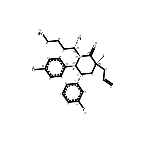 C=CC[C@@]1(C)C[C@H](c2cccc(Cl)c2)[C@@H](c2ccc(Cl)cc2)N([C@@H](CC)CCCC(C)C)C1=O